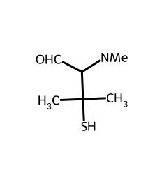 CNC(C=O)C(C)(C)S